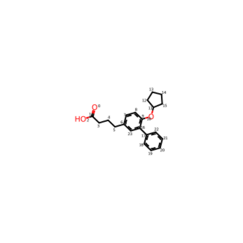 O=C(O)CCCc1ccc(OC2CCCC2)c(-c2ccccc2)c1